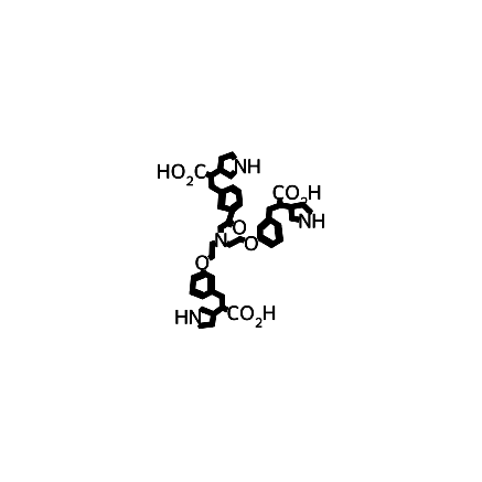 O=C(CN(CCOc1cccc(CC(C(=O)O)C2CCNC2)c1)CCOc1cccc(CC(C(=O)O)C2CCNC2)c1)c1cccc(CC(C(=O)O)C2CCNC2)c1